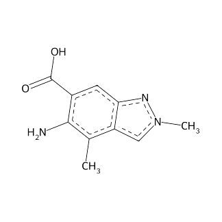 Cc1c(N)c(C(=O)O)cc2nn(C)cc12